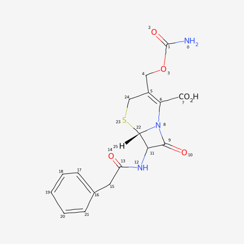 NC(=O)OCC1=C(C(=O)O)N2C(=O)C(NC(=O)Cc3ccccc3)[C@@H]2SC1